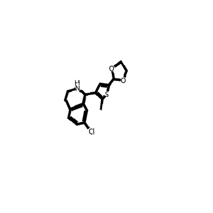 Cc1sc(C2OCCO2)cc1C1NCCc2ccc(Cl)cc21